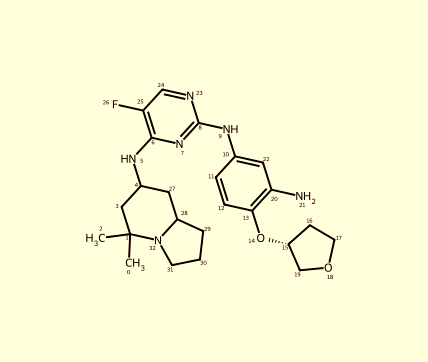 CC1(C)CC(Nc2nc(Nc3ccc(O[C@@H]4CCOC4)c(N)c3)ncc2F)CC2CCCN21